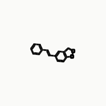 C(=Cc1ccc2c(c1)COO2)c1ccccc1